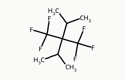 CC(C)C(C(C)C)(C(F)(F)F)C(F)(F)F